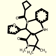 CN1C(=O)C2=C(CC1(C)C)Nc1ccccc1N(C(=O)C1CCC1)C2c1ccco1